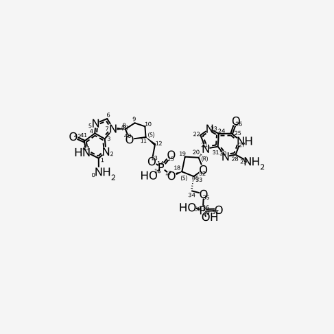 Nc1nc2c(ncn2[C@H]2CC[C@@H](COP(=O)(O)O[C@H]3C[C@H](n4cnc5c(=O)[nH]c(N)nc54)O[C@@H]3COP(=O)(O)O)O2)c(=O)[nH]1